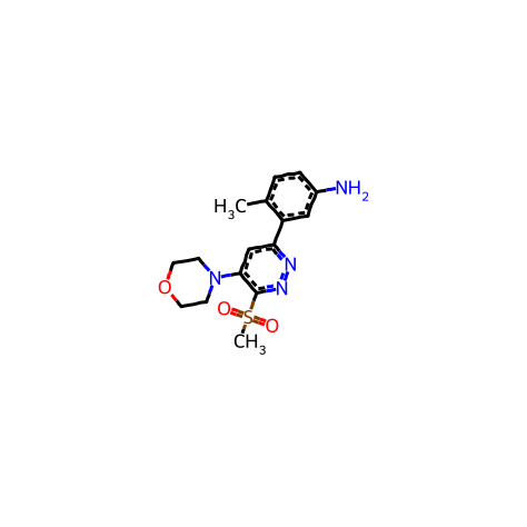 Cc1ccc(N)cc1-c1cc(N2CCOCC2)c(S(C)(=O)=O)nn1